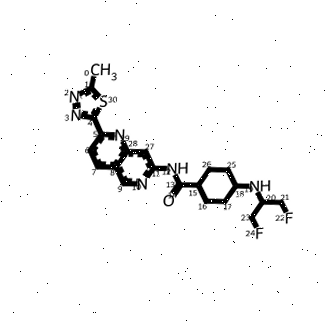 Cc1nnc(-c2ccc3cnc(NC(=O)C4CCC(NC(CF)CF)CC4)cc3n2)s1